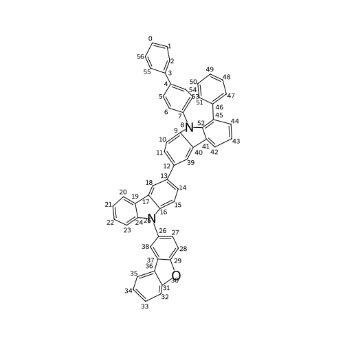 c1ccc(-c2ccc(-n3c4ccc(-c5ccc6c(c5)c5ccccc5n6-c5ccc6oc7ccccc7c6c5)cc4c4cccc(-c5ccccc5)c43)cc2)cc1